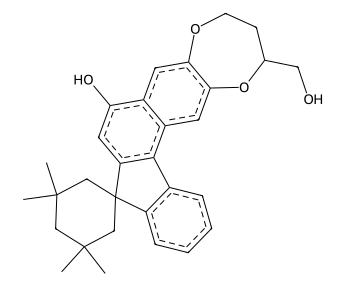 CC1(C)CC(C)(C)CC2(C1)c1ccccc1-c1c2cc(O)c2cc3c(cc12)OC(CO)CCO3